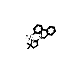 CC1(C)CCC(NCc2ccccc2-c2cccc(C(F)(F)F)c2)=N1